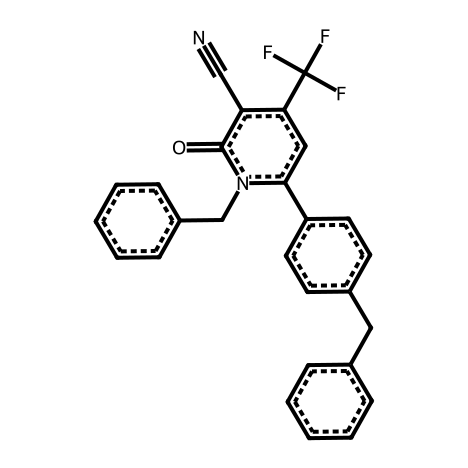 N#Cc1c(C(F)(F)F)cc(-c2ccc(Cc3ccccc3)cc2)n(Cc2ccccc2)c1=O